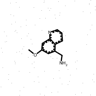 COc1cc(CN)c2cccnc2c1